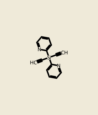 C#C[Si](C#C)(c1ccccn1)c1ccccn1